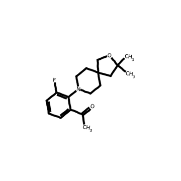 CC(=O)c1cccc(F)c1N1CCC2(CC1)COC(C)(C)C2